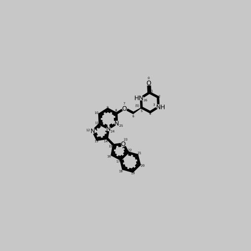 O=C1CNC[C@@H](COc2ccc3ncc(-c4cc5ccccc5o4)n3n2)N1